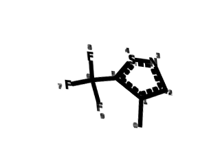 Cc1[c]nsc1C(F)(F)F